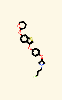 FCCCN1CC(Oc2ccc(Oc3[c]sc4cc(OC5CCCCO5)ccc34)cc2)C1